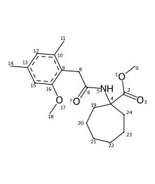 COC(=O)C1(NC(=O)Cc2c(C)cc(C)cc2OC)CCCCCC1